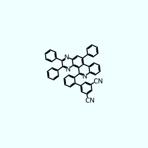 N#Cc1cc(C#N)cc(-c2ccccc2-c2nc3ccccc3c3c(-c4ccccc4)cc4nc(-c5ccccc5)c(-c5ccccc5)nc4c23)c1